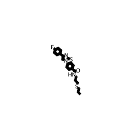 CCCSCCCNC(=O)c1ccc2c(c1)sc1nc(-c3ccc(F)cc3)cn12